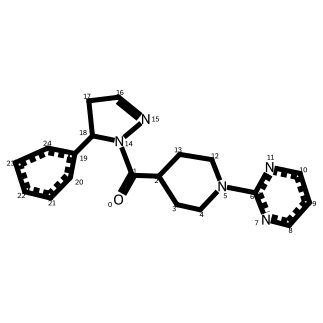 O=C(C1CCN(c2ncccn2)CC1)N1N=CCC1c1ccccc1